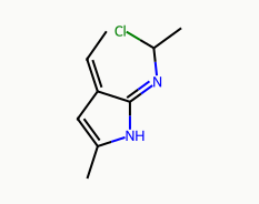 C/C=C1/C=C(C)N/C1=N/C(C)Cl